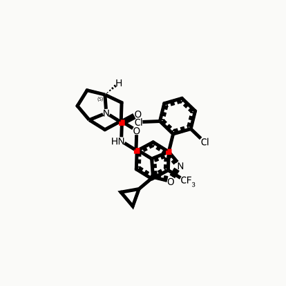 O=C(Nc1ccc(C(F)(F)F)cc1)N1C2CC[C@H]1CC(OCc1c(-c3c(Cl)cccc3Cl)noc1C1CC1)C2